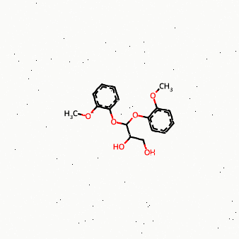 COc1ccccc1OC(Oc1ccccc1OC)C(O)CO